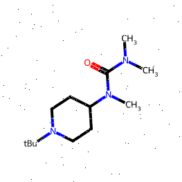 CN(C)C(=O)N(C)C1CCN(C(C)(C)C)CC1